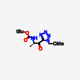 COCn1nnnc1C(=O)[C@H](C)NC(=O)OC(C)(C)C